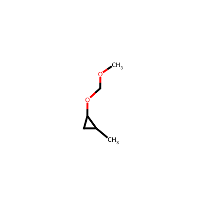 COCOC1CC1C